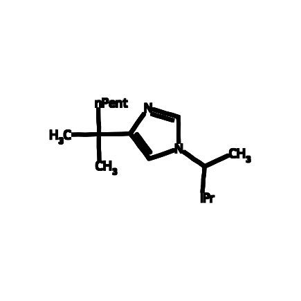 CCCCCC(C)(C)c1cn(C(C)C(C)C)cn1